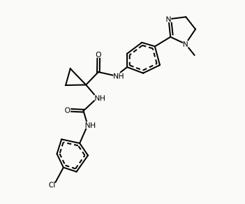 CN1CCN=C1c1ccc(NC(=O)C2(NC(=O)Nc3ccc(Cl)cc3)CC2)cc1